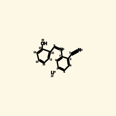 N#Cc1ccccc1/N=C\c1ccccc1O.[Li+]